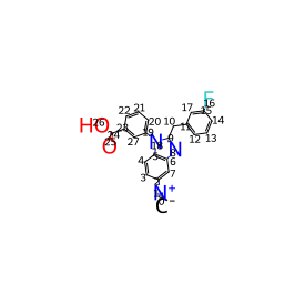 [C-]#[N+]c1ccc2c(c1)nc(Cc1cccc(F)c1)n2-c1cccc(C(=O)O)c1